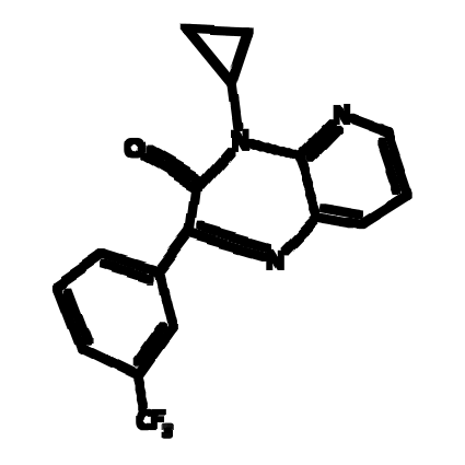 O=c1c(-c2cccc(C(F)(F)F)c2)nc2cccnc2n1C1CC1